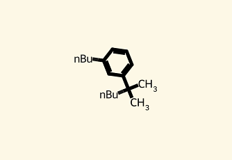 CCCCc1cccc(C(C)(C)CCCC)c1